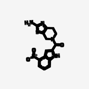 Nc1nc2c(s1)CN(C(=O)c1cc3c([N+](=O)[O-])cccc3[nH]1)CC2